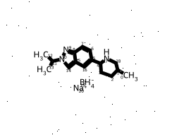 CC1CCC(c2ccc3nn(C(C)C)cc3c2)NC1.[BH4-].[Na+]